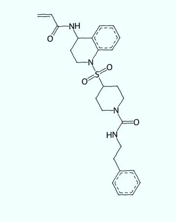 C=CC(=O)NC1CCN(S(=O)(=O)C2CCN(C(=O)NCCc3ccccc3)CC2)c2ccccc21